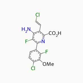 COc1c(Cl)ccc(-c2nc(C(=O)O)c(/C=C/Cl)c(N)c2F)c1F